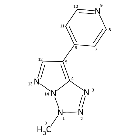 Cn1nnc2c(-c3ccncc3)cnn21